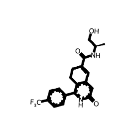 C[C@H](CO)NC(=O)C1=Cc2cc(=O)[nH]c(-c3ccc(C(F)(F)F)cc3)c2CC1